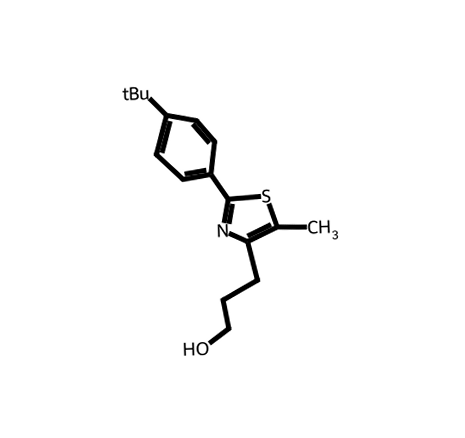 Cc1sc(-c2ccc(C(C)(C)C)cc2)nc1CCCO